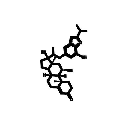 CC(C)c1cc2cc(CC(C)[C@@]3(O)CCC4[C@@H]5CCC6=CC(=O)CC[C@]6(C)[C@H]5[C@@H](O)C[C@@]43C)cc(O)c2o1